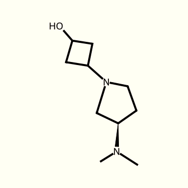 CN(C)[C@@H]1CCN(C2CC(O)C2)C1